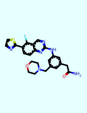 NC(=O)Cc1cc(CN2CCOCC2)cc(Nc2ncc3c(F)c(-c4nccs4)ccc3n2)c1